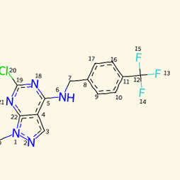 Cn1ncc2c(NCc3ccc(C(F)(F)F)cc3)nc(Cl)nc21